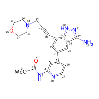 COC(=O)Nc1cc(-c2cc(C#CCN3CCOCC3)c3[nH]nc(N)c3c2)ccn1